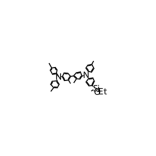 CCO[Si](C)(C)c1ccc(N(c2ccc(C)cc2)c2ccc(-c3ccc(N(c4ccc(C)cc4)c4ccc(C)cc4)cc3C)c(C)c2)cc1